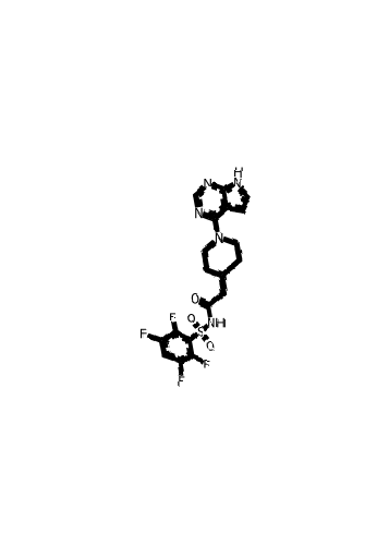 O=C(CC1CCN(c2ncnc3[nH]ccc23)CC1)NS(=O)(=O)c1c(F)c(F)cc(F)c1F